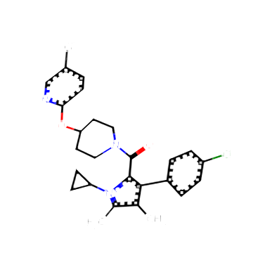 Cc1c(-c2ccc(Cl)cc2)c(C(=O)N2CCC(Oc3ccc(C(F)(F)F)cn3)CC2)n(C2CC2)c1C(F)(F)F